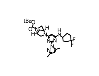 Cc1cc(C)n(-c2nc(NC3CCC(F)(F)CC3)cc(N3C[C@H]4C[C@@H]3CN4C(=O)OC(C)(C)C)n2)n1